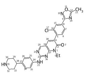 CCn1c(=O)c(-c2ccc(-c3noc(C)n3)cc2Cl)cc2cnc(Nc3ccc(C4CCNCC4)cc3)nc21